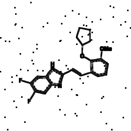 COc1cccc(/C=C/c2nc3cc(F)c(F)cc3[nH]2)c1OC1CCCC1